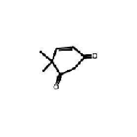 CC1(C)C=CC(=O)CC1=O